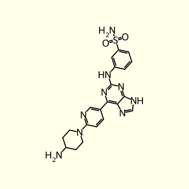 NC1CCN(c2ccc(-c3nc(Nc4cccc(S(N)(=O)=O)c4)nc4[nH]cnc34)cn2)CC1